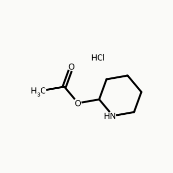 CC(=O)OC1CCCCN1.Cl